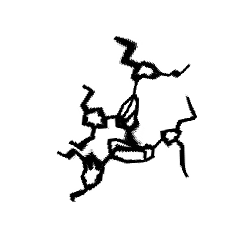 CC=Cc1cc(C=CC)cc(C23CC4CC(c5cc(C=CC)cc(C=CC)c5)(C2)CC(C25CC6CC(c7cc(C=CC)cc(C=CC)c7)(CC(c7cc(C=CC)cc(C=CC)c7)(C6)C2)C5)(C4)C3)c1